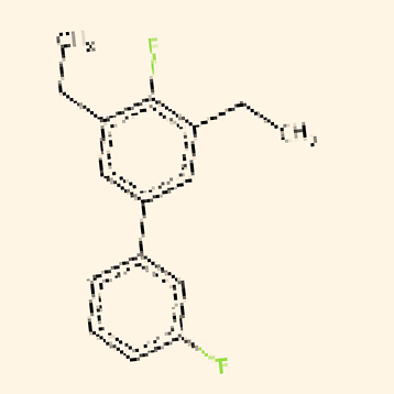 CCc1cc(-c2[c]ccc(F)c2)cc(CC)c1F